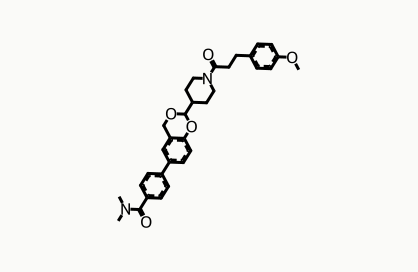 COc1ccc(CCC(=O)N2CCC(C3OCc4cc(-c5ccc(C(=O)N(C)C)cc5)ccc4O3)CC2)cc1